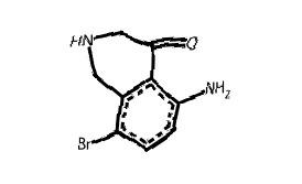 Nc1ccc(Br)c2c1C(=O)CNC2